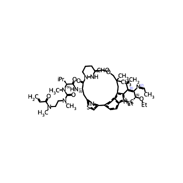 C=CC(=O)N(C)CCN(C)C(=O)N(C)[C@H](C(=O)N[C@H]1Cc2nc(cs2)-c2ccc3c(c2)c(c(/C(C=C)=C(/N=C\C)[C@H](C)OCC)n3CC)CC(C)(C)COC[C@@]2(C=O)CCCN(N2)C1=O)C(C)C